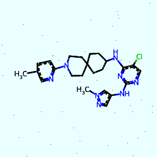 Cc1ccc(N2CCC3(CCC(Nc4nc(Nc5cnn(C)c5)ncc4Cl)CC3)CC2)nc1